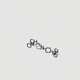 CN(Cl)C1CCN(c2ccc([N+](=O)[O-])cc2)CC1